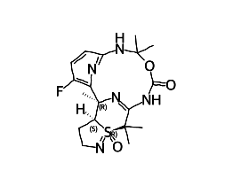 CC1(C)Nc2ccc(F)c(n2)[C@@]2(C)N=C(NC(=O)O1)C(C)(C)[S@@]1(=O)=NCC[C@@H]21